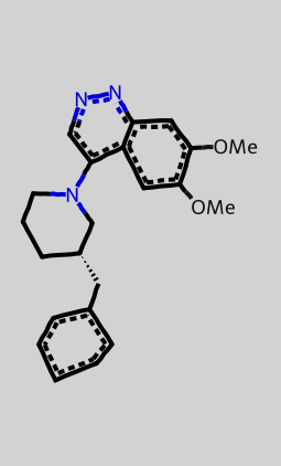 COc1cc2nncc(N3CCC[C@@H](Cc4ccccc4)C3)c2cc1OC